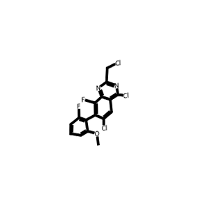 COc1cccc(F)c1-c1c(Cl)cc2c(Cl)nc(CCl)nc2c1F